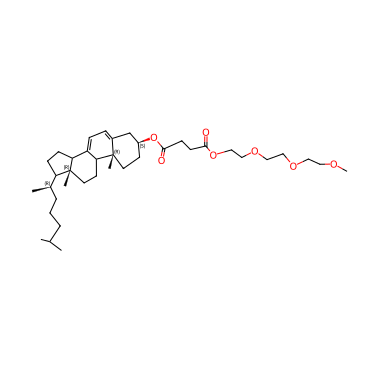 COCCOCCOCCOC(=O)CCC(=O)O[C@H]1CC[C@@]2(C)C(=CC=C3C4CCC([C@H](C)CCCC(C)C)[C@@]4(C)CCC32)C1